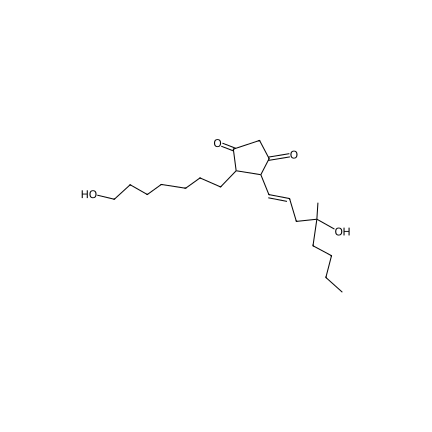 CCCCC(C)(O)C/C=C/C1C(=O)CC(=O)C1CCCCCCCO